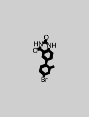 CC1CC(Br)=CC=C1c1ccc2[nH]c(=O)[nH]c(=O)c2c1